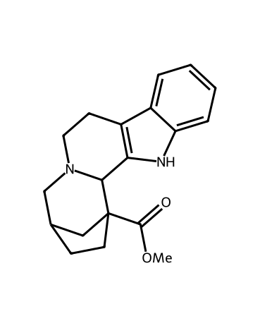 COC(=O)C12CCC(CN3CCc4c([nH]c5ccccc45)C31)C2